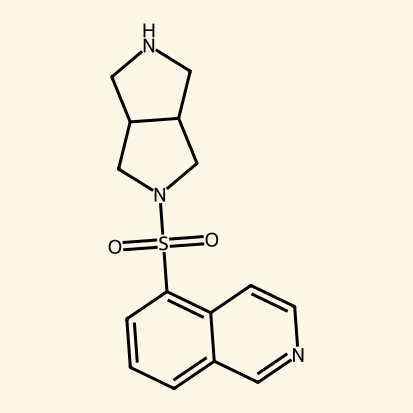 O=S(=O)(c1cccc2cnccc12)N1CC2CNCC2C1